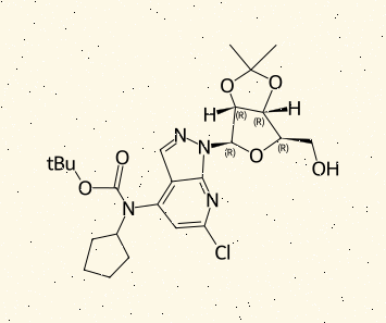 CC(C)(C)OC(=O)N(c1cc(Cl)nc2c1cnn2[C@@H]1O[C@H](CO)[C@H]2OC(C)(C)O[C@H]21)C1CCCC1